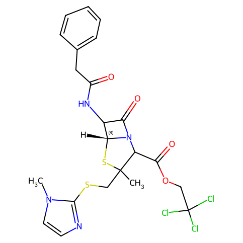 Cn1ccnc1SCC1(C)S[C@@H]2C(NC(=O)Cc3ccccc3)C(=O)N2C1C(=O)OCC(Cl)(Cl)Cl